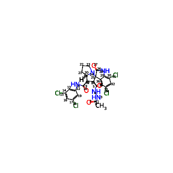 CC(=O)NNC(=O)[C@H]1[C@@H](C(=O)Nc2cc(Cl)cc(Cl)c2)[C@H]2CCCN2C12C(=O)Nc1c(Cl)cc(Cl)cc12